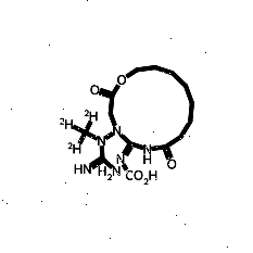 [2H]C([2H])([2H])N(C(=N)N)N1CC(=O)OCCCCCCCC(=O)N/C1=N\C(=O)O